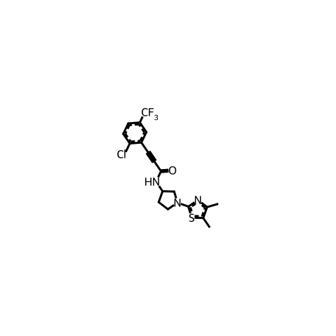 Cc1nc(N2CCC(NC(=O)C#Cc3cc(C(F)(F)F)ccc3Cl)C2)sc1C